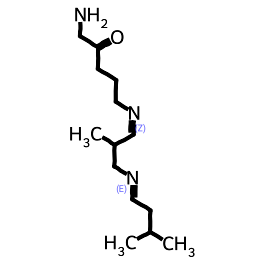 CC(C)C/C=N/CC(C)/C=N\CCCC(=O)CN